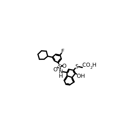 O=C(O)CSc1cc(NS(=O)(=O)c2cc(F)cc(C3CCCCC3)c2)c2ccccc2c1O